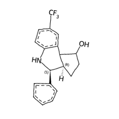 OC1CC[C@@H]2C1c1cc(C(F)(F)F)ccc1N[C@@H]2c1ccccc1